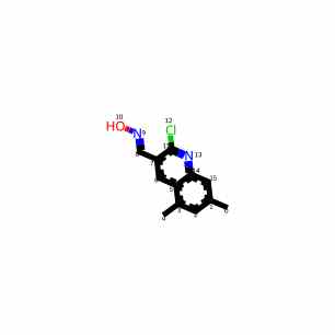 Cc1cc(C)c2cc(C=NO)c(Cl)nc2c1